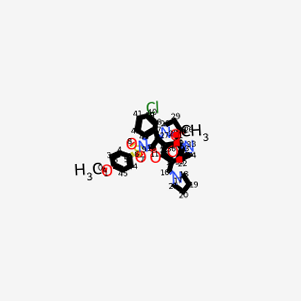 COc1ccc(S(=O)(=O)N2C(=O)C(c3cc(CN4CCCC4)ccc3OC)(N3CCCC3c3ncco3)c3cc(Cl)ccc32)cc1